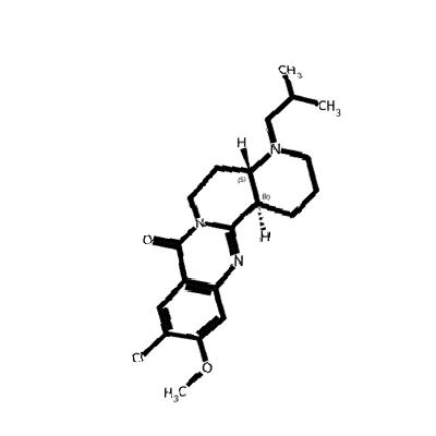 COc1cc2nc3n(c(=O)c2cc1Cl)CC[C@H]1[C@H]3CCCN1CC(C)C